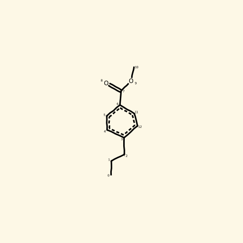 CC[CH]c1ccc(C(=O)OC)cc1